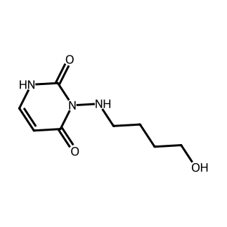 O=c1cc[nH]c(=O)n1NCCCCO